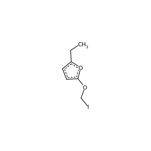 CCc1ccc(OCI)o1